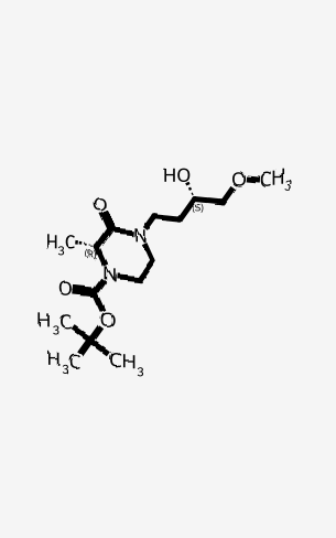 COC[C@@H](O)CCN1CCN(C(=O)OC(C)(C)C)[C@H](C)C1=O